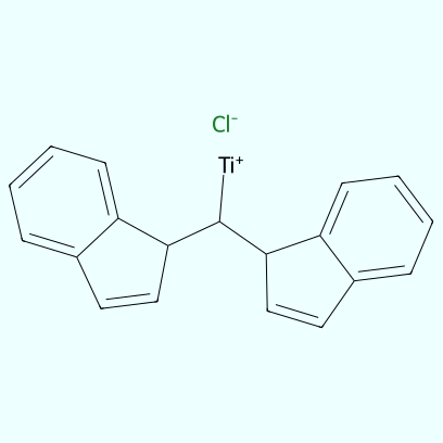 [Cl-].[Ti+][CH](C1C=Cc2ccccc21)C1C=Cc2ccccc21